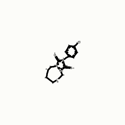 O=c1n(-c2ccc(Cl)cc2)c(=S)n2n1CCCCCC2